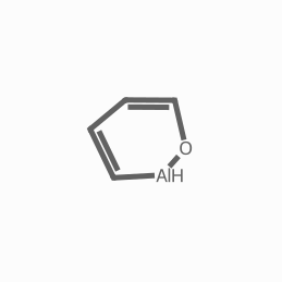 C1=C[O][AlH][CH]=C1